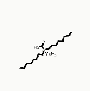 CCCCCCCCN(CCCCCCCC)C(=S)S.[MgH2]